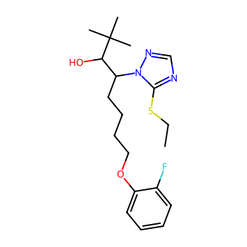 CCSc1ncnn1C(CCCCOc1ccccc1F)C(O)C(C)(C)C